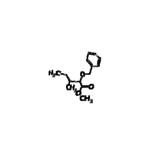 CCC(C)C(OCc1ccccc1)C(=O)OC